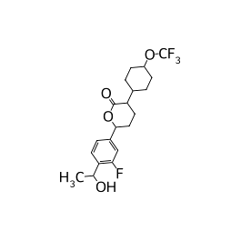 CC(O)c1ccc(C2CCC(C3CCC(OC(F)(F)F)CC3)C(=O)O2)cc1F